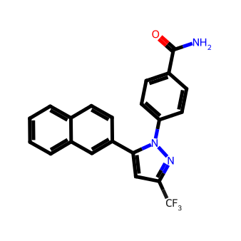 NC(=O)c1ccc(-n2nc(C(F)(F)F)cc2-c2ccc3ccccc3c2)cc1